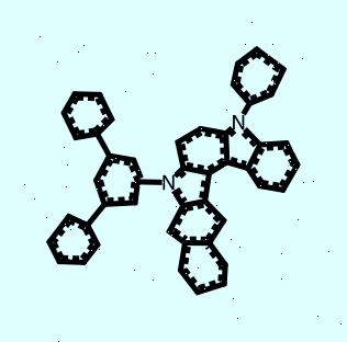 c1ccc(-c2cc(-c3ccccc3)cc(-n3c4cc5ccccc5cc4c4c5c6ccccc6n(-c6ccccc6)c5ccc43)c2)cc1